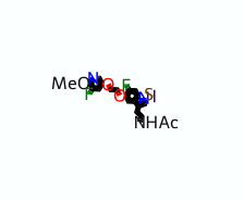 COc1ncc(OCCOc2cc3c(CCNC(C)=O)cn(SI)c3cc2F)cc1F